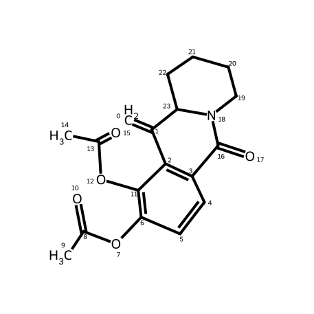 C=C1c2c(ccc(OC(C)=O)c2OC(C)=O)C(=O)N2CCCCC12